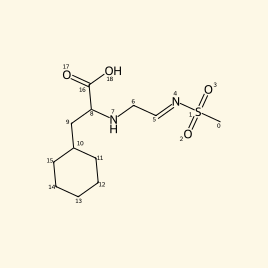 CS(=O)(=O)N=CCNC(CC1CCCCC1)C(=O)O